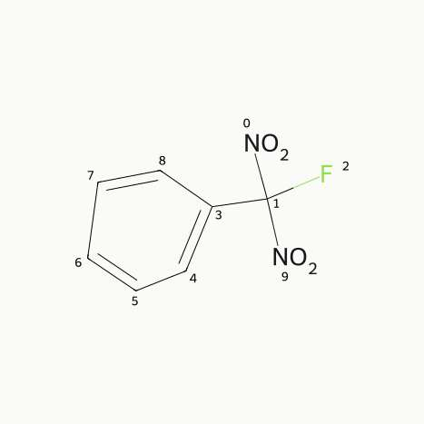 O=[N+]([O-])C(F)(c1ccccc1)[N+](=O)[O-]